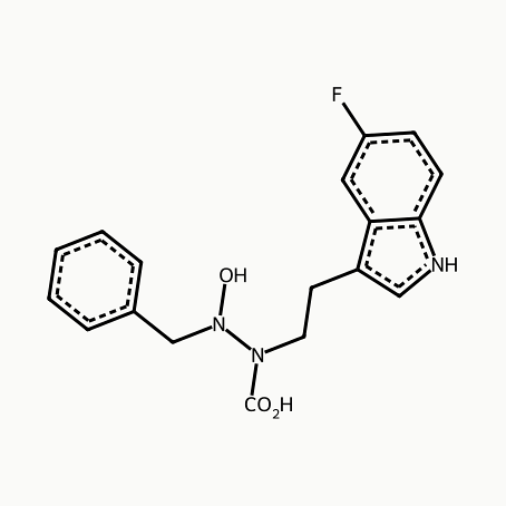 O=C(O)N(CCc1c[nH]c2ccc(F)cc12)N(O)Cc1ccccc1